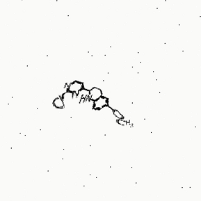 COc1ccc2c(c1)CCC(c1ccnc(Cl)n1)N2